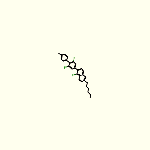 CCCCCCc1ccc2c(F)c(-c3cc(F)c(-c4ccc(C)cc4)c(F)c3)ccc2c1